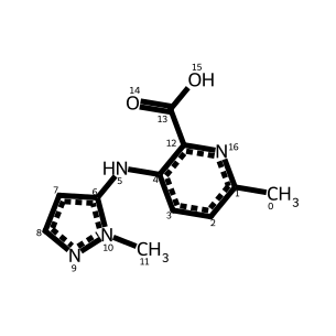 Cc1ccc(Nc2ccnn2C)c(C(=O)O)n1